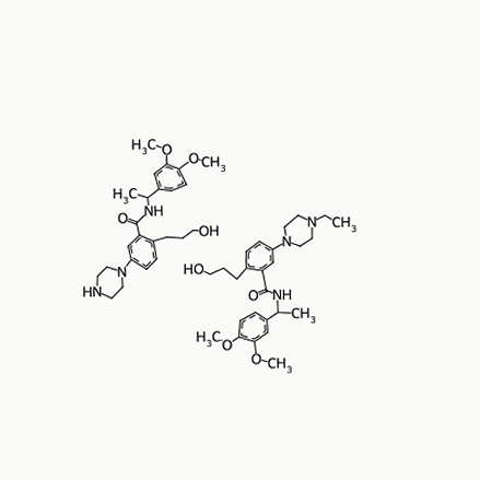 CCN1CCN(c2ccc(CCCO)c(C(=O)NC(C)c3ccc(OC)c(OC)c3)c2)CC1.COc1ccc(C(C)NC(=O)c2cc(N3CCNCC3)ccc2CCCO)cc1OC